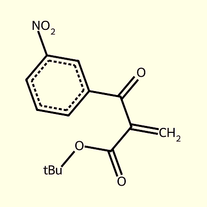 C=C(C(=O)OC(C)(C)C)C(=O)c1cccc([N+](=O)[O-])c1